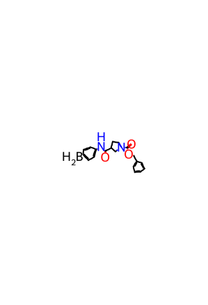 Bc1ccc(NC(=O)C2CCN(C(=O)OCc3ccccc3)C2)cc1